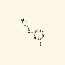 NCCOc1cccc(Cl)n1